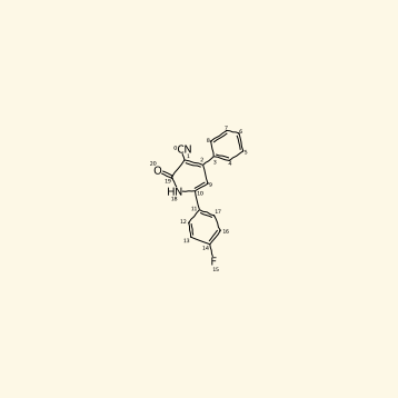 N#Cc1c(-c2ccccc2)cc(-c2ccc(F)cc2)[nH]c1=O